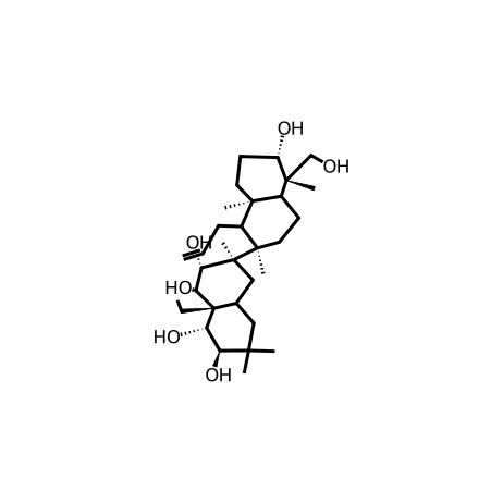 C=CCC1[C@@]2(C)CC[C@H](O)[C@](C)(CO)C2CC[C@@]1(C)[C@@]1(C)CC2CC(C)(C)[C@@H](O)[C@H](O)[C@]2(CC)[C@H](O)[C@@H]1O